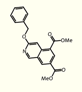 COC(=O)c1cc(C(=O)OC)c2cc(OCc3ccccc3)ncc2c1